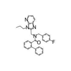 CCCn1c(CN(Cc2ccc(F)cc2)C(=O)c2ccccc2-c2ccccc2)nc2cccnc21